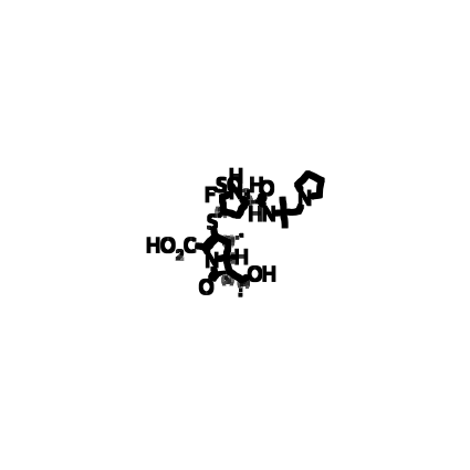 C[C@@H](O)[C@H]1C(=O)N2C(C(=O)O)=C(S[C@@H]3CN[C@H](C(=O)NC(C)(C)CN4CCCC4)C3)[C@H](C)[C@H]12.O=S(=O)(O)F